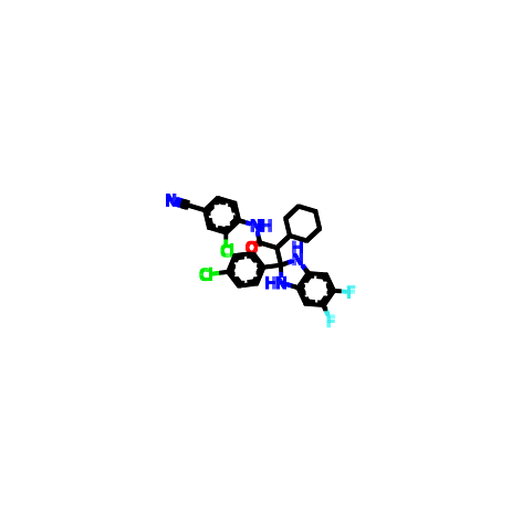 N#Cc1ccc(NC(=O)C(C2CCCCC2)C2(c3ccc(Cl)cc3)Nc3cc(F)c(F)cc3N2)c(Cl)c1